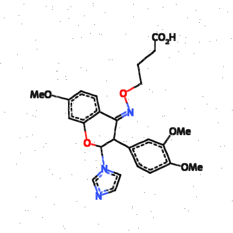 COc1ccc2c(c1)OC(n1ccnc1)C(c1ccc(OC)c(OC)c1)C2=NOCCCC(=O)O